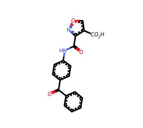 O=C(c1ccccc1)c1ccc(NC(=O)c2nocc2C(=O)O)cc1